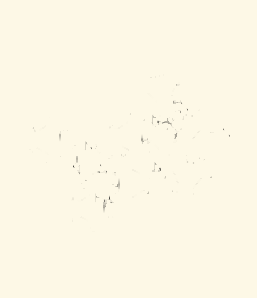 N#Cc1ccc2c(c1)c1ccccc1n2-c1ccc(-c2nc(-c3ccccc3)nc(-c3ccccc3)n2)c(-c2cc(C(F)(F)F)ccc2-n2c3ccccc3c3cc(C#N)ccc32)c1